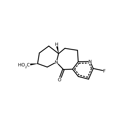 O=C(O)[C@H]1CC[C@@H]2CCc3nc(F)ccc3C(=O)N2C1